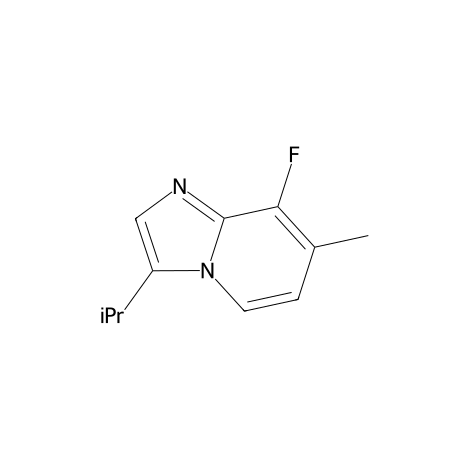 Cc1ccn2c(C(C)C)cnc2c1F